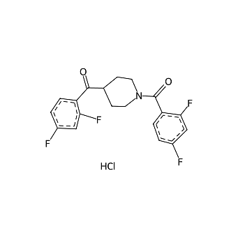 Cl.O=C(c1ccc(F)cc1F)C1CCN(C(=O)c2ccc(F)cc2F)CC1